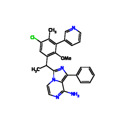 COc1c(C(C)c2nc(-c3ccccc3)c3c(N)nccn23)cc(Cl)c(C)c1-c1cccnc1